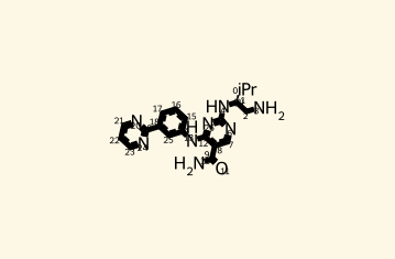 CC(C)[C@H](CN)Nc1ncc(C(N)=O)c(Nc2cccc(-c3ncccn3)c2)n1